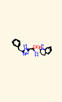 O=C(N[C@H]1CCc2ccccc2NC1O)c1nnc(Cc2ccccc2)[nH]1